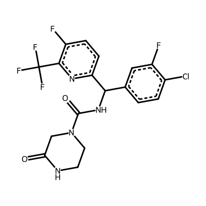 O=C1CN(C(=O)NC(c2ccc(Cl)c(F)c2)c2ccc(F)c(C(F)(F)F)n2)CCN1